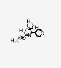 COO/C=N/[C@H](C1CCOCC1)C(C)(C)C